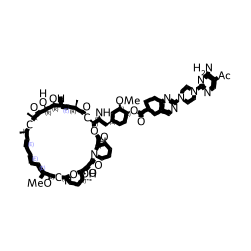 CO[C@H]1C[C@@H]2CC[C@@H](C)[C@@](O)(O2)C(=O)C(=O)N2CCCC[C@H]2C(=O)O[C@H]([C@H](N)C[C@@H]2CC[C@@H](OC(=O)C3CCc4nc(N5CCN(c6ncc(C(C)=O)c(N)n6)CC5)ncc4C3)[C@H](OC)C2)CC(=O)[C@H](C)/C=C(\C)[C@@H](O)[C@@H](O)C(=O)[C@H](C)C[C@H](C)/C=C/C=C/C=C/1C